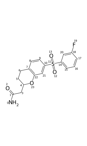 NC(=O)CC1CCc2ccc(S(=O)(=O)c3cccc(F)c3)cc2O1